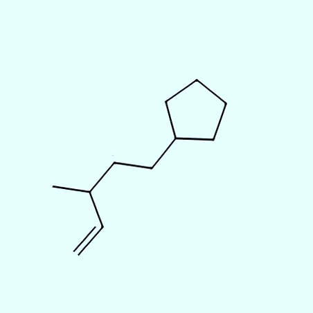 [CH]=CC(C)CCC1CCCC1